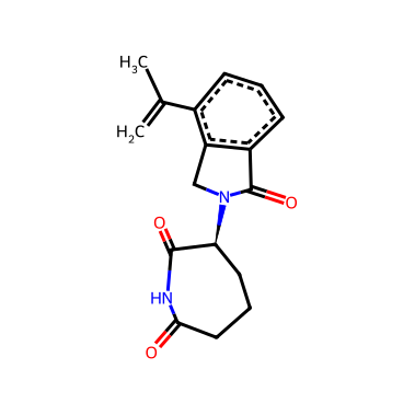 C=C(C)c1cccc2c1CN([C@H]1CCCC(=O)NC1=O)C2=O